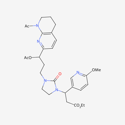 CCOC(=O)CC(c1ccc(OC)nc1)N1CCN(CCC(OC(C)=O)c2ccc3c(n2)N(C(C)=O)CCC3)C1=O